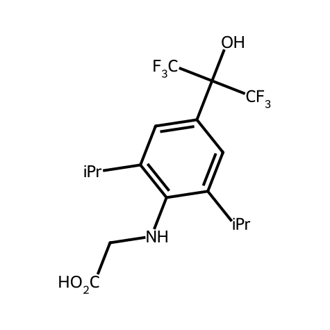 CC(C)c1cc(C(O)(C(F)(F)F)C(F)(F)F)cc(C(C)C)c1NCC(=O)O